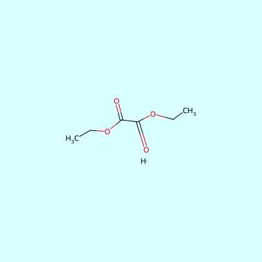 CCOC(=O)C(=O)OCC.[H]